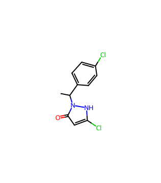 CC(c1ccc(Cl)cc1)n1[nH]c(Cl)cc1=O